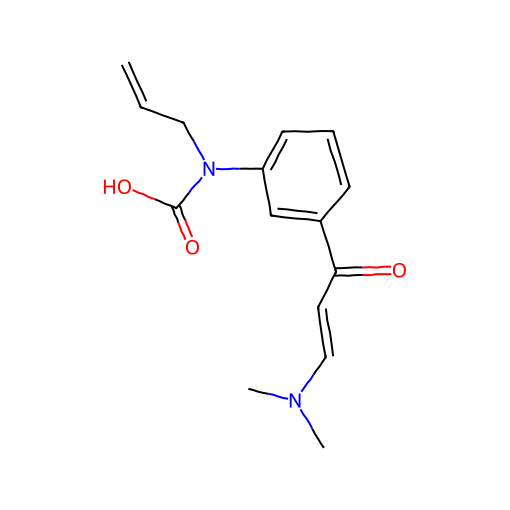 C=CCN(C(=O)O)c1cccc(C(=O)C=CN(C)C)c1